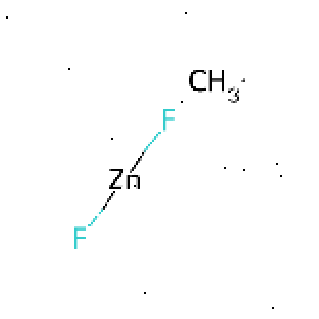 [CH3].[F][Zn][F]